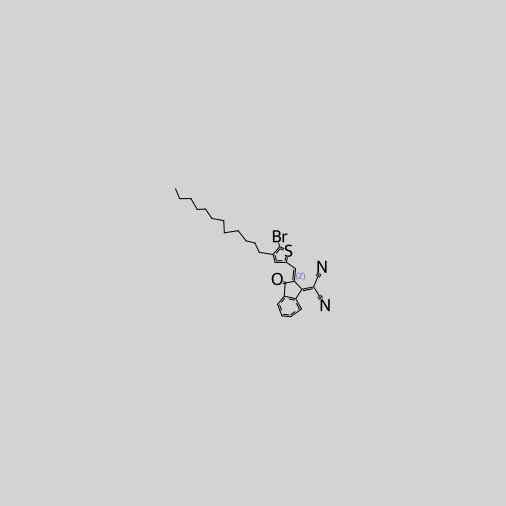 CCCCCCCCCCCCc1cc(/C=C2\C(=O)c3ccccc3C2=C(C#N)C#N)sc1Br